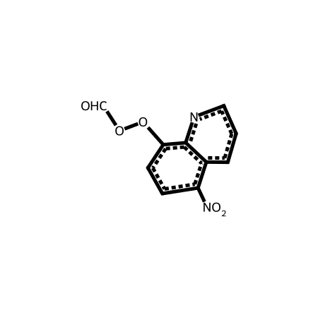 O=COOc1ccc([N+](=O)[O-])c2cccnc12